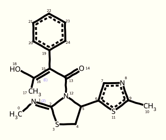 C/N=C1\SCC(c2cnc(C)s2)N1C(=O)/C(=C(\C)O)c1ccccc1